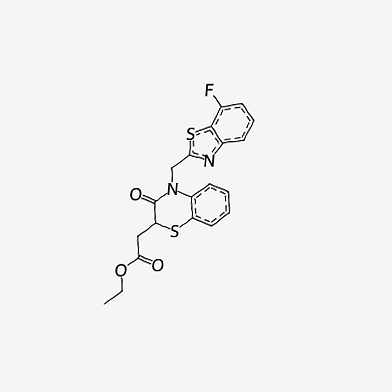 CCOC(=O)CC1Sc2ccccc2N(Cc2nc3cccc(F)c3s2)C1=O